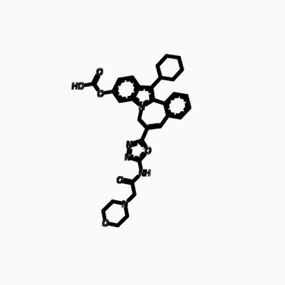 O=C(CN1CCOCC1)Nc1nnc(C2=Cc3ccccc3-c3c(C4CCCCC4)c4ccc(OC(=O)O)cc4n3C2)o1